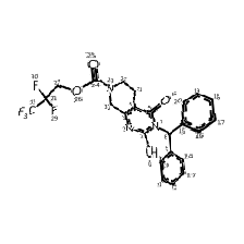 Cc1nc2c(c(=O)n1C(c1ccccc1)c1ccccc1)CCN(C(=O)OCC(F)(F)C(F)(F)F)C2